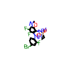 O=S(=O)(Nc1c(Nc2ccc(Br)cc2F)c(F)c(F)c2ncoc12)C1CC1